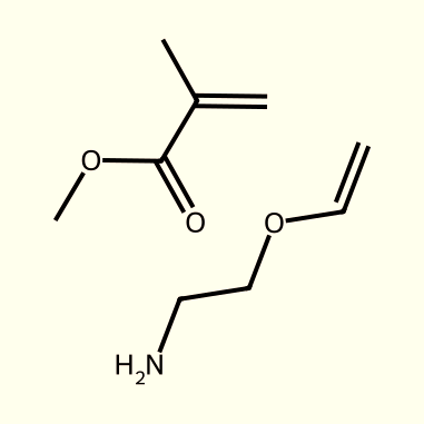 C=C(C)C(=O)OC.C=COCCN